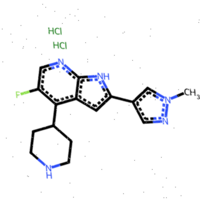 Cl.Cl.Cn1cc(-c2cc3c(C4CCNCC4)c(F)cnc3[nH]2)cn1